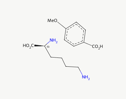 COc1ccc(C(=O)O)cc1.NCCCC[C@H](N)C(=O)O